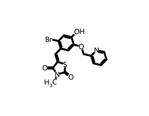 CN1C(=O)S/C(=C\c2cc(OCc3ccccn3)c(O)cc2Br)C1=O